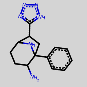 NC1CCC2NC1(c1ccccc1)CC2c1nnn[nH]1